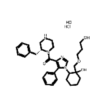 Cl.Cl.O=C(c1ncn(C2CCCCC2(O)COCCCO)c1-c1ccccc1)N1CCNC[C@H]1Cc1ccccc1